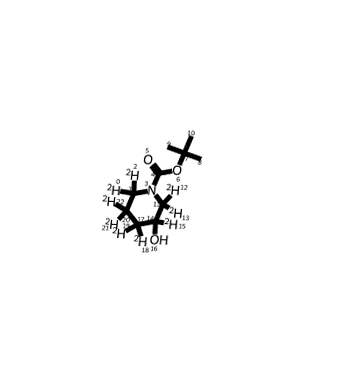 [2H]C1([2H])N(C(=O)OC(C)(C)C)C([2H])([2H])C([2H])(O)C([2H])([2H])C1([2H])[2H]